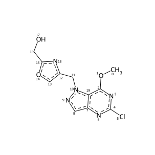 COc1nc(Cl)nc2cnn(Cc3coc(CO)n3)c12